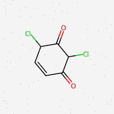 O=C1C=CC(Cl)C(=O)C1Cl